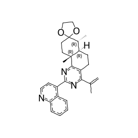 C=C(C)c1nc(-c2ccnc3ccccc23)nc2c1CC[C@@H]1[C@@H](C)C3(CC[C@@]21C)OCCO3